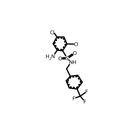 Nc1cc(Cl)cc(Cl)c1S(=O)(=O)NCc1ccc(C(F)(F)F)cc1